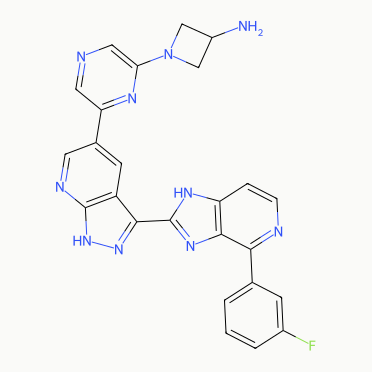 NC1CN(c2cncc(-c3cnc4[nH]nc(-c5nc6c(-c7cccc(F)c7)nccc6[nH]5)c4c3)n2)C1